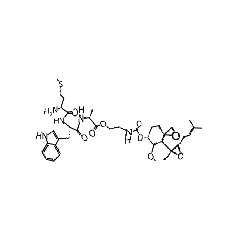 COC1[C@H](OC(=O)NCCOC(=O)[C@H](C)NC(=O)[C@H](Cc2c[nH]c3ccccc23)NC(=O)[C@@H](N)CCSC)CC[C@]2(CO2)[C@H]1[C@@]1(C)O[C@@H]1CC=C(C)C